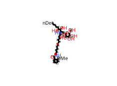 CCCCCCCCCCCCCCC(O)C(O)C(CO[C@H]1O[C@H](CO)[C@H](O)[C@H](O)[C@H]1O)NC(=O)CCCCCCCCCCCNC(=O)c1ccccc1OC